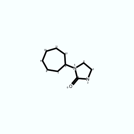 O=C1[N]CCN1C1CCCCCC1